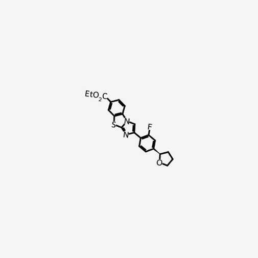 CCOC(=O)c1ccc2c(c1)sc1nc(-c3ccc([C@H]4CCCO4)cc3F)cn12